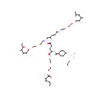 CC(=O)NC1C(OCCOCCNC(=O)CCC(NC(=O)CCC(NC(=O)C2CCC(OP(OCCC#N)N(C(C)C)C(C)C)CC2)C(=O)NCCOCCOC2(NC(C)=O)COC(COC(C)=O)C(OC(C)=O)C2OC(C)=O)C(=O)NCCOCCOC2OC(COC(C)=O)C(OC(C)=O)C(OC(C)=O)C2NC(C)=O)OC(COC(C)=O)C(OC(C)=O)C1OC(C)=O